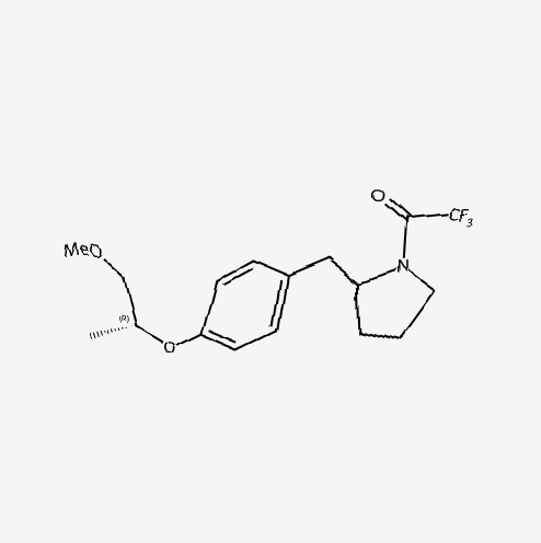 COC[C@@H](C)Oc1ccc(CC2CCCN2C(=O)C(F)(F)F)cc1